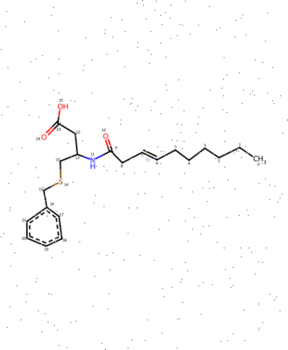 CCCCCC/C=C/CC(=O)NC(CSCc1ccccc1)CC(=O)O